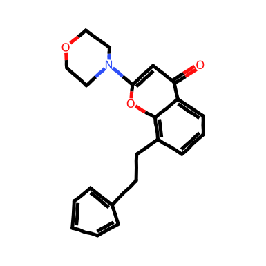 O=c1cc(N2CCOCC2)oc2c(CCc3ccccc3)cccc12